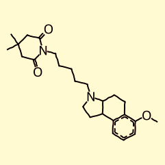 COc1cccc2c1CCC1C2CCN1CCCCCN1C(=O)CC(C)(C)CC1=O